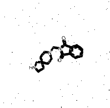 O=C1c2ccccc2C(=O)N1CN1CCC2(CCNC2)CC1